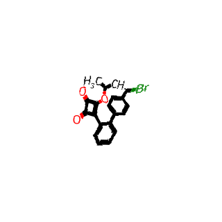 CC(C)Oc1c(-c2ccccc2-c2ccc(CBr)cc2)c(=O)c1=O